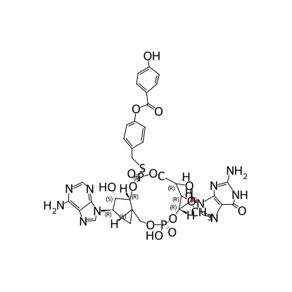 CO[C@H]1[C@H]2OP(=O)(O)OCC34C[C@@H]3[C@@H](n3cnc5c(N)ncnc53)[C@H](O)[C@@H]4O[P@](=O)(SCc3ccc(OC(=O)c4ccc(O)cc4)cc3)OC[C@H]1O[C@H]2n1cnc2c(=O)[nH]c(N)nc21